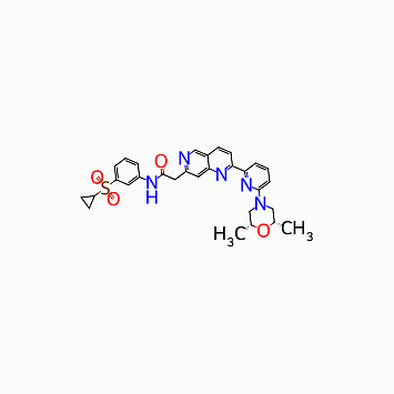 C[C@@H]1CN(c2cccc(-c3ccc4cnc(CC(=O)Nc5cccc(S(=O)(=O)C6CC6)c5)cc4n3)n2)C[C@H](C)O1